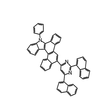 c1ccc(-n2c3ccccc3c3c4c5ccccc5c(-c5cc(-c6cccc7ccccc67)nc(-c6cccc7ccccc67)n5)cc4c4ccccc4c32)cc1